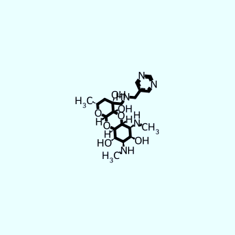 CN[C@@H]1[C@H](O)[C@H](NC)[C@H]2O[C@]3(O)[C@H](O[C@@H]2[C@H]1O)O[C@H](C)C[C@@]3(O)CNCc1cncnc1